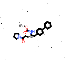 CC(C)(C)OC(=O)N[C@@H](CCC(=O)N1CCCC1)Cc1ccc(-c2ccccc2)cc1